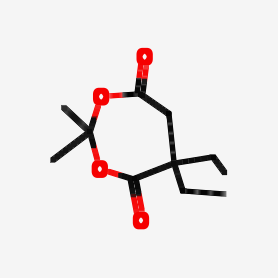 CCC1(CC)CC(=O)OC(C)(C)OC1=O